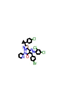 O=C(Nc1ccccn1)c1c(-c2nnc(C3(c4ccc(Cl)cc4)CC3)s2)nn(-c2ccc(Cl)cc2Cl)c1-c1ccc(Br)cc1